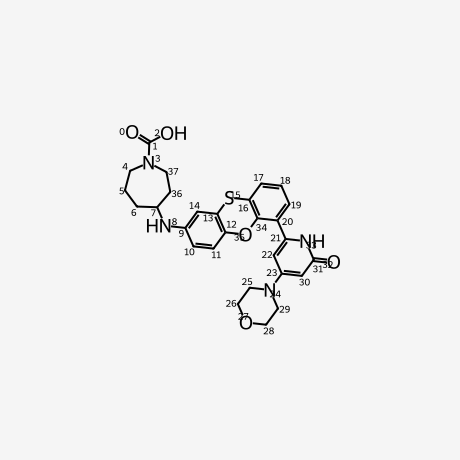 O=C(O)N1CCCC(Nc2ccc3c(c2)Sc2cccc(-c4cc(N5CCOCC5)cc(=O)[nH]4)c2O3)CC1